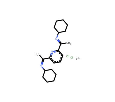 CC(=NC1CCCCC1)c1cccc(C(C)=NC2CCCCC2)n1.[Cl-].[Cl-].[V+2]